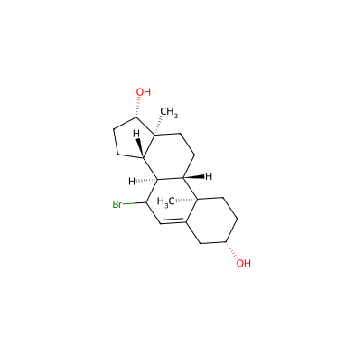 C[C@]12CC[C@H]3[C@@H](C(Br)C=C4C[C@@H](O)CC[C@@]43C)[C@@H]1CC[C@@H]2O